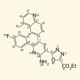 CCOC(=O)c1nnc(-c2cc(-c3ccc4nccc(C)c4c3)c(-c3ccc(F)cc3)nc2N)o1